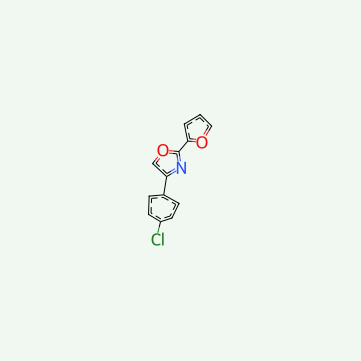 Clc1ccc(-c2coc(-c3ccco3)n2)cc1